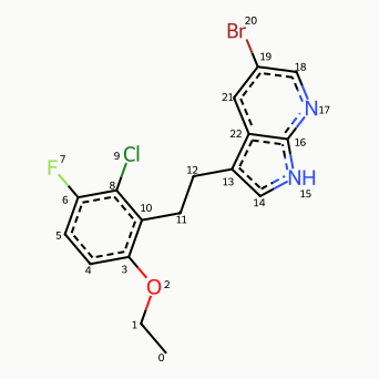 CCOc1ccc(F)c(Cl)c1CCc1c[nH]c2ncc(Br)cc12